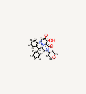 O=C1c2c(O)c(=O)cnn2[C@H](C(c2ccccc2)c2ccccc2)CN1C1CCOCC1